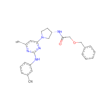 CCCc1cc(N2CC[C@H](NC(=O)COCc3ccccc3)C2)nc(Nc2cccc(C#N)c2)n1